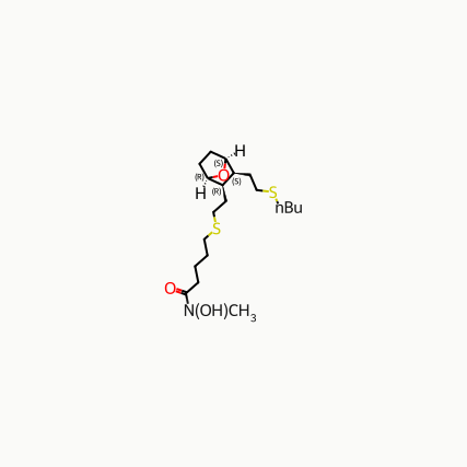 CCCCSCC[C@H]1[C@@H](CCSCCCCC(=O)N(C)O)[C@H]2CC[C@@H]1O2